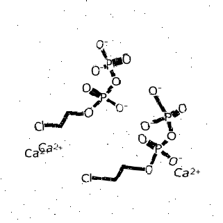 O=P([O-])([O-])OP(=O)([O-])OCCCl.O=P([O-])([O-])OP(=O)([O-])OCCCl.[Ca+2].[Ca+2].[Ca+2]